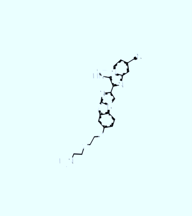 CNc1c(-c2cn3c(n2)sc2cc(OCCOCCN)ccc23)nc2cc(C#N)ccn12